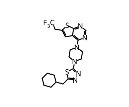 FC(F)(F)Cc1cc2c(N3CCN(c4nnc(CC5CCCCC5)s4)CC3)ncnc2s1